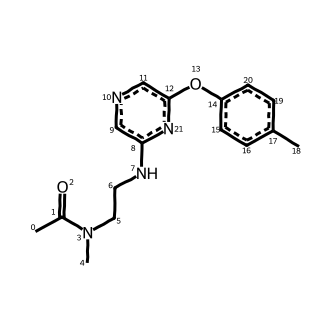 CC(=O)N(C)CCNc1cncc(Oc2ccc(C)cc2)n1